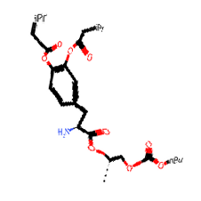 CCCCOC(=O)OC[C@H](C)OC(=O)[C@@H](N)Cc1ccc(OC(=O)CC(C)C)c(OC(=O)CC(C)C)c1